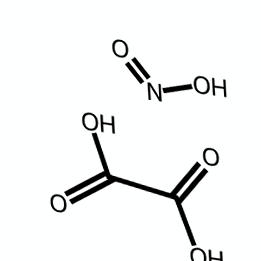 O=C(O)C(=O)O.O=NO